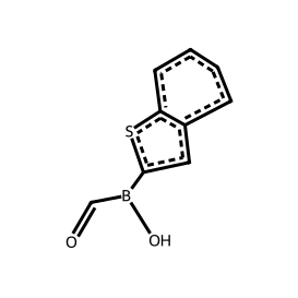 O=CB(O)c1cc2ccccc2s1